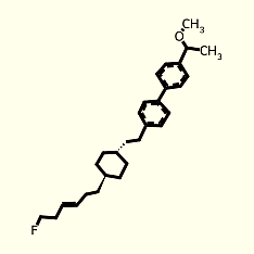 COC(C)c1ccc(-c2ccc(CC[C@H]3CC[C@H](CC/C=C/CCF)CC3)cc2)cc1